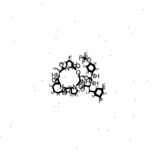 C[C@H]1C[C@H]2C(=O)O[C@@H](C)[C@H](NC(=O)[C@H](Cc3cc(F)cc(F)c3)NC(=O)Nc3ccc(OC(F)(F)F)cc3)C(=O)N3CCC[C@H]3C(=O)N3CCCCC[C@H]3C(=O)N[C@@H](C)C(=O)N2C1